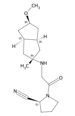 CO[C@@H]1C[C@@H]2C[C@@](C)(NCC(=O)N3CCC[C@H]3C#N)C[C@@H]2C1